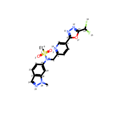 CCS(=O)(=O)N(Cc1ccc(-c2nnc(C(F)F)o2)cn1)c1ccc2cnn(C)c2c1